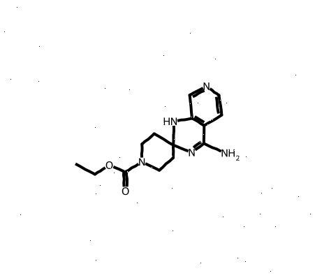 CCOC(=O)N1CCC2(CC1)N=C(N)c1ccncc1N2